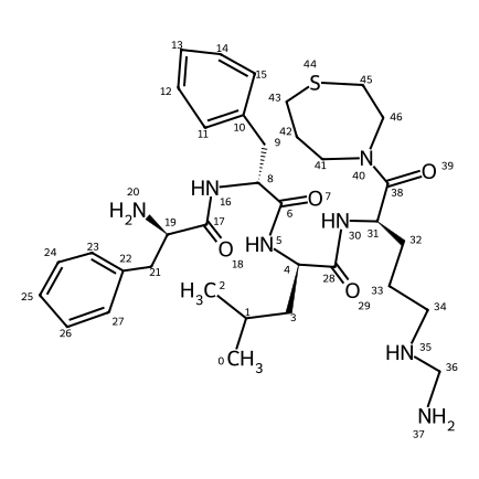 CC(C)C[C@@H](NC(=O)[C@@H](Cc1ccccc1)NC(=O)[C@H](N)Cc1ccccc1)C(=O)N[C@H](CCCNCN)C(=O)N1CCCSCC1